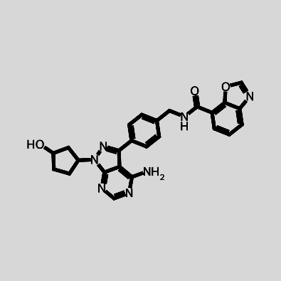 Nc1ncnc2c1c(-c1ccc(CNC(=O)c3cccc4ncoc34)cc1)nn2C1CCC(O)C1